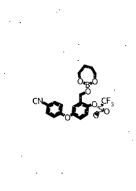 [C-]#[N+]c1ccc(Oc2ccc(OS(=O)(=O)C(F)(F)F)c(COB3OCCCCO3)c2)cc1